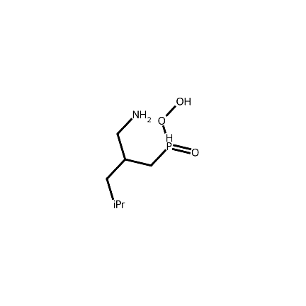 CC(C)CC(CN)C[PH](=O)OO